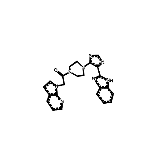 O=C(Cn1ccc2cccnc21)N1CCN(c2scnc2-c2nc3ccccc3[nH]2)CC1